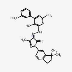 CC1=NN(c2ccc3c(c2)C(C)(C)CC3)C(=O)/C1=N\Nc1cc(C)cc(-c2cccc(C(=O)O)c2)c1O